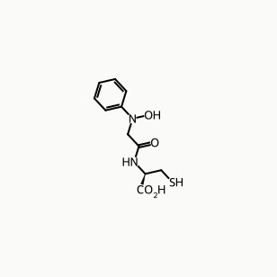 O=C(CN(O)c1ccccc1)N[C@@H](CS)C(=O)O